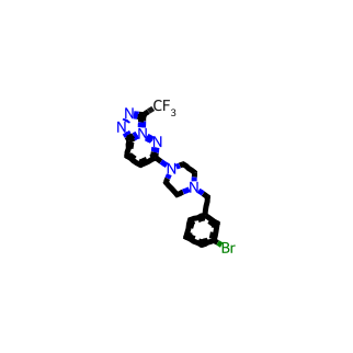 FC(F)(F)c1nnc2ccc(N3CCN(Cc4cccc(Br)c4)CC3)nn12